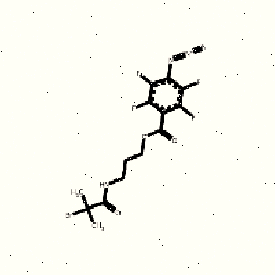 CC(C)(Br)C(=O)NCCCOC(=O)c1c(F)c(F)c(N=[N+]=[N-])c(F)c1F